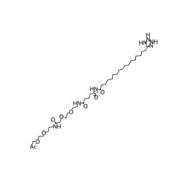 CC(=O)COCCOCCNC(=O)COCCOCCNC(=O)CCC[S+]([O-])NC(=O)CCCCCCCCCCCCCCCCC1=NNNN1